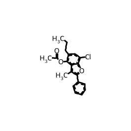 CCCc1cc(Cl)c2oc(-c3ccccc3)c(C)c2c1OC(C)=O